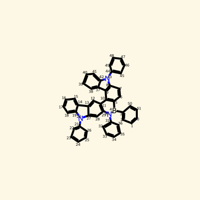 c1ccc(B2c3ccc4c(c3-c3cc5c6ccccc6n(-c6ccccc6)c5cc3N2c2ccccc2)c2ccccc2n4-c2ccccc2)cc1